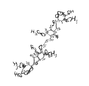 COc1cc2sc(C(=O)C[C@H](C)C(=O)O)cc2c(F)c1CCCOc1c(OC)cc2sc(C(=O)C[C@H](C)C(=O)O)cc2c1F